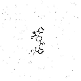 O=C(Cc1ccccc1C(F)(F)F)N1CCC2(CC1)C(=O)Nc1ccccc12